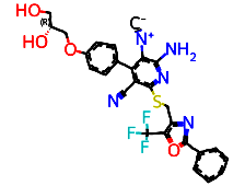 [C-]#[N+]c1c(N)nc(SCc2nc(-c3ccccc3)oc2C(F)(F)F)c(C#N)c1-c1ccc(OC[C@H](O)CO)cc1